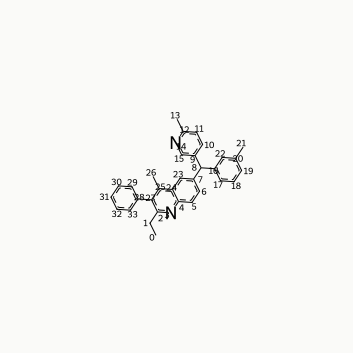 CCc1nc2ccc(C(c3ccc(C)nc3)c3cccc(C)c3)cc2c(C)c1-c1ccccc1